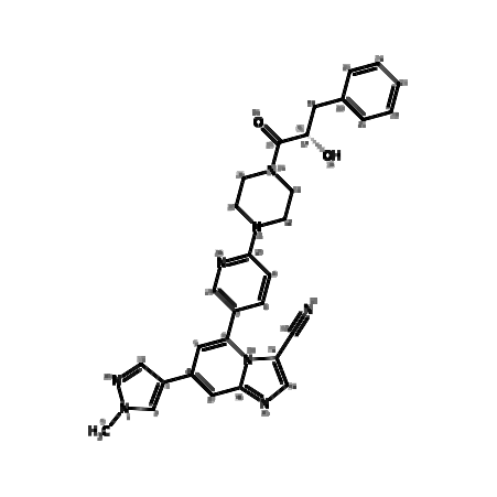 Cn1cc(-c2cc(-c3ccc(N4CCN(C(=O)[C@@H](O)Cc5ccccc5)CC4)nc3)n3c(C#N)cnc3c2)cn1